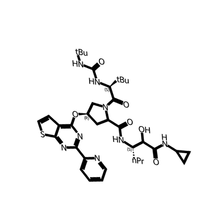 CCC[C@H](NC(=O)C1C[C@@H](Oc2nc(-c3ccccn3)nc3sccc23)CN1C(=O)[C@@H](NC(=O)NC(C)(C)C)C(C)(C)C)C(O)C(=O)NC1CC1